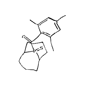 Cc1cc(C)c(C(=O)P2(=S)C3CCCC2CCC3)c(C)c1